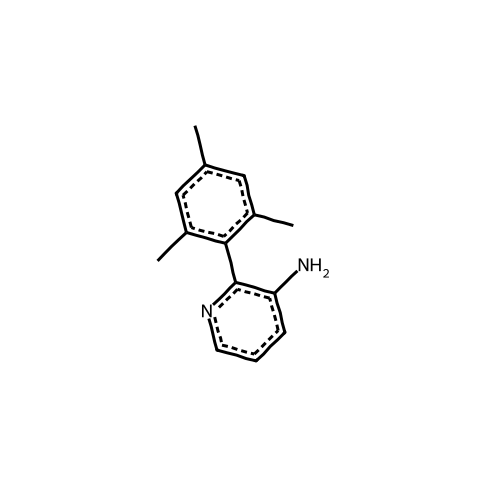 Cc1cc(C)c(-c2ncccc2N)c(C)c1